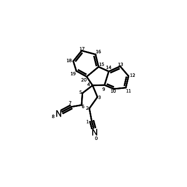 N#CCCC1(CCC#N)c2ccccc2-c2ccccc21